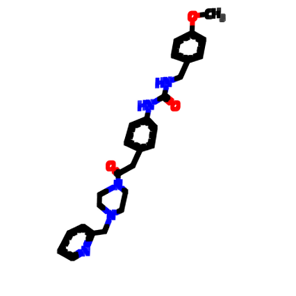 COc1ccc(CNC(=O)Nc2ccc(CC(=O)N3CCN(Cc4ccccn4)CC3)cc2)cc1